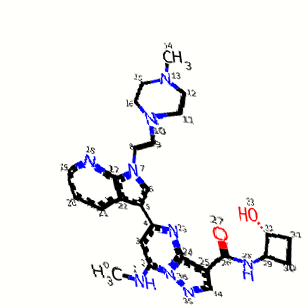 CNc1cc(-c2cn(CCN3CCN(C)CC3)c3ncccc23)nc2c(C(=O)NC3CC[C@H]3O)cnn12